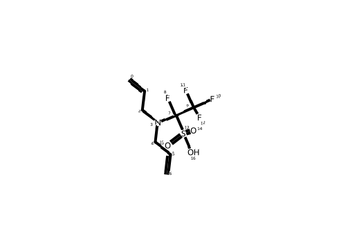 C=CCN(CC=C)C(F)(C(F)(F)F)S(=O)(=O)O